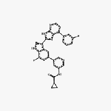 O=C(Nc1cncc(-c2cc(F)c3[nH]nc(-c4nc5c(-c6cccc(F)c6)ccnc5[nH]4)c3c2)c1)C1CC1